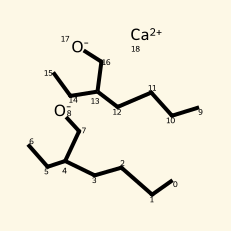 CCCCC(CC)C[O-].CCCCC(CC)C[O-].[Ca+2]